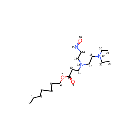 CCCCCCCOC(=O)CCN(CCN=O)CCN(CC)CC